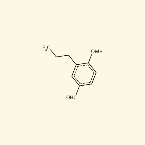 COc1ccc(C=O)cc1CCC(F)(F)F